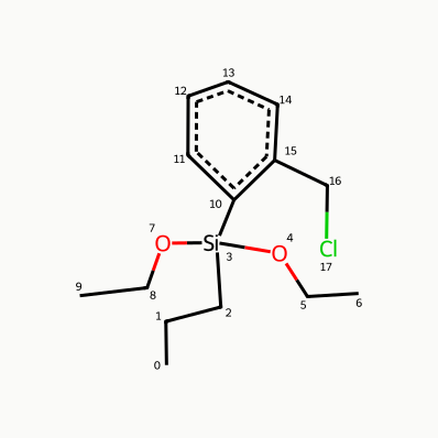 CCC[Si](OCC)(OCC)c1ccccc1CCl